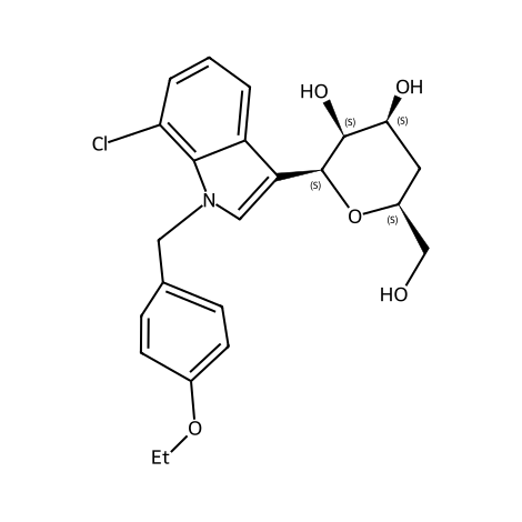 CCOc1ccc(Cn2cc([C@@H]3O[C@H](CO)C[C@H](O)[C@@H]3O)c3cccc(Cl)c32)cc1